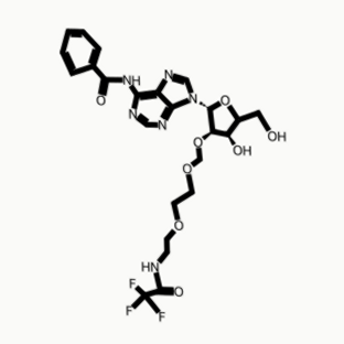 O=C(Nc1ncnc2c1ncn2[C@@H]1OC(CO)[C@@H](O)[C@H]1OCOCCOCCNC(=O)C(F)(F)F)c1ccccc1